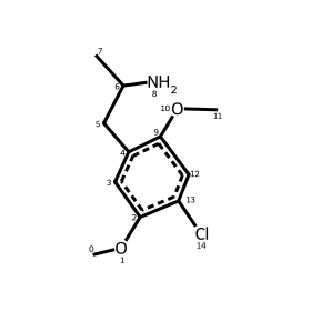 COc1cc(CC(C)N)c(OC)cc1Cl